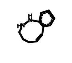 C1=Cc2ccccc2NNCCC1